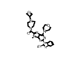 CCc1nc2ccccc2n1-c1nc(N2CCOCC2)c2nc(C(=O)N3CCN(C4COC4)CC3)n(C)c2n1